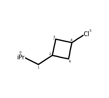 CC(C)CC1[CH]C(Cl)C1